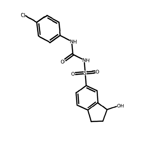 O=C(Nc1ccc(Cl)cc1)NS(=O)(=O)c1ccc2c(c1)C(O)CC2